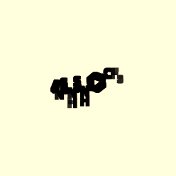 FC(F)(F)c1ccc(NC(=S)Nc2nccs2)cc1